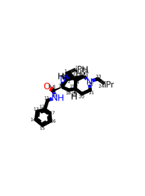 CC(C)C[C@@H]1[C@@H]2[C@@H]3C=N[C@@]1(C(=O)NCc1ccccc1)C[C@@H]3CCN2CC(C)C